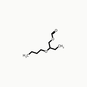 CCCCOC(CC)COC=O